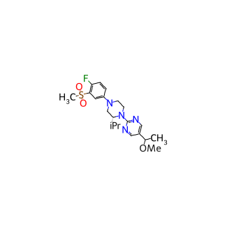 COC(C)c1cnc(N2CCN(c3ccc(F)c(S(C)(=O)=O)c3)C[C@H]2C(C)C)nc1